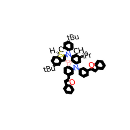 Cc1cc(C(C)(C)C)cc(C)c1N1c2cc(C(C)C)cc3c2B(c2ccc(-c4cc5ccccc5o4)cc2N3c2cccc(-c3cc4ccccc4o3)c2)c2c1sc1ccc(C(C)(C)C)cc21